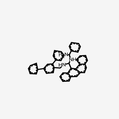 NC(NC(NCc1ccc(-c2ccccc2)cc1-c1ccccc1)c1c2ccccc2cc2ccc3ccccc3c12)c1ccccc1